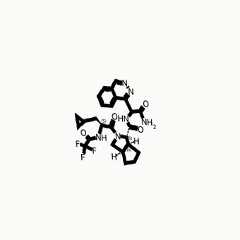 NC(=O)C(NC(=O)[C@@H]1[C@H]2CCC[C@H]2CN1C(=O)[C@H](CC1CC1)NC(=O)C(F)(F)F)c1nncc2ccccc12